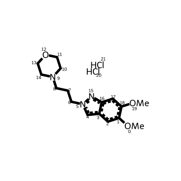 COc1cc2cn(CCCN3CCOCC3)nc2cc1OC.Cl.Cl